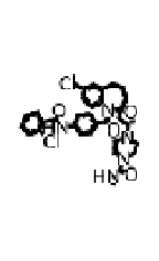 CNC(=O)N1CCN(CCC2(OC)CCCc3cc(Cl)ccc3N2C(=O)c2ccc(NC(=O)c3ccccc3Cl)cc2)CC1